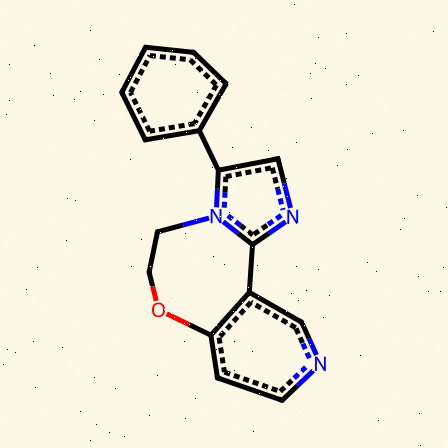 c1ccc(-c2cnc3n2CCOc2ccncc2-3)cc1